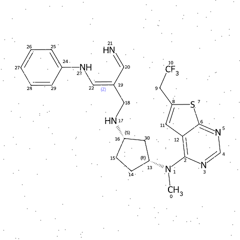 CN(c1ncnc2sc(CC(F)(F)F)cc12)[C@@H]1CC[C@H](NC/C(C=N)=C/Nc2ccccc2)C1